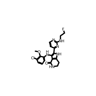 COc1c(Cl)cccc1Nc1c(-c2ccnc(NCCF)n2)[nH]c2c1C(=O)NCC2